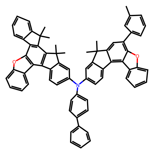 Cc1cccc(-c2cc3c(c4c2oc2ccccc24)-c2ccc(N(c4ccc(-c5ccccc5)cc4)c4ccc5c(c4)C(C)(C)c4c6c(c7oc8ccccc8c7c4-5)-c4ccccc4C6(C)C)cc2C3(C)C)c1